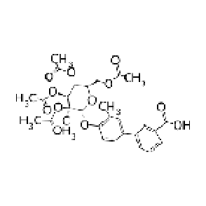 CC(=O)OC[C@H]1O[C@H](Oc2ccc(-c3cccc(C(=O)O)c3)cc2C)[C@@](C)(OC(C)=O)[C@@H](OC(C)=O)[C@@H]1OC(C)=O